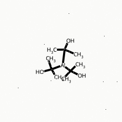 C[C](C)(O)[Al]([C](C)(C)O)[C](C)(C)O